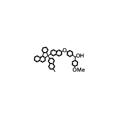 COc1ccc(C(O)c2ccc(Oc3ccc4cc(C5(c6ccc7cc(C)ccc7c6)c6ccccc6-c6c5ccc5ccccc65)ccc4c3)cc2)cc1